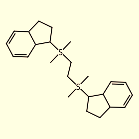 CS(C)(CCS(C)(C)C1CCC2C=CC=CC21)C1CCC2C=CC=CC21